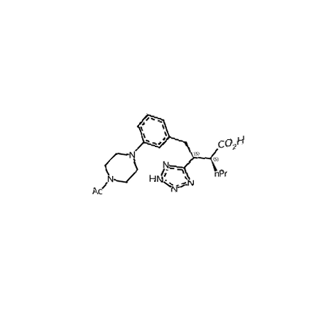 CCC[C@H](C(=O)O)[C@H](Cc1cccc(N2CCN(C(C)=O)CC2)c1)c1nn[nH]n1